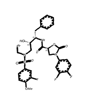 COc1ccc(S(=O)(=O)N(CC(C)C)C[C@H](O)[C@H](Cc2ccccc2)NC(=O)[C@@H]2CN(c3ccc(F)c(F)c3)C(=O)O2)cc1F